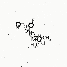 Cc1nc2c3c(nn2c(C)c1Cl)CN(C(=O)c1ccc(F)cc1OCc1cccnc1)C3